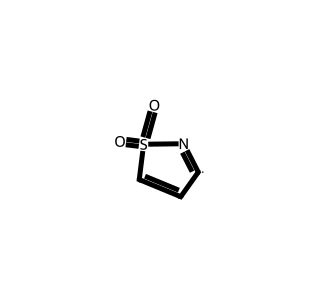 O=S1(=O)C=C[C]=N1